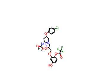 CC(N)=O.O=C(Oc1ccc(O)cc1OCC(O)CN1CCC(Oc2ccc(Cl)cc2)C1)C(F)(F)F